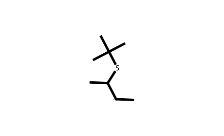 C[CH]C(C)SC(C)(C)C